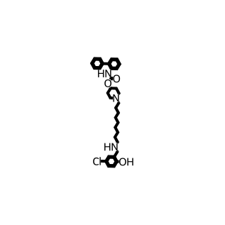 O=C(Nc1ccccc1-c1ccccc1)OC1CCN(CCCCCCCCCNCc2cc(Cl)ccc2O)CC1